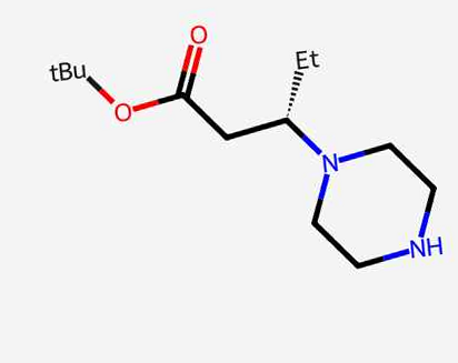 CC[C@@H](CC(=O)OC(C)(C)C)N1CCNCC1